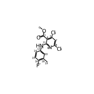 COC(=O)c1c(Cl)cc(Cl)nc1Nc1ccc(F)c(C)c1